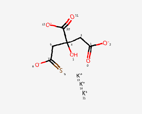 O=C([O-])CC(O)(CC([O-])=S)C(=O)[O-].[K+].[K+].[K+]